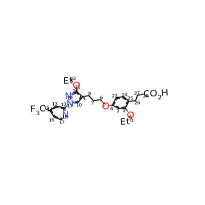 CCOc1cc(OCCCc2cn(-c3cc(C(F)(F)F)ccn3)nc2OCC)ccc1CCC(=O)O